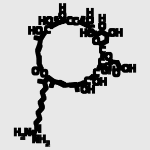 C/C1=C\C=C\C(C)C(C(C)CCC/C=C/CCCN=C(N)N)OC(=O)/C=C/C=C/C(C)C(O)CC(O)C(C)C(O)CCC(C)C(O)CC2(O)OC(CC(OC(=O)CC(=O)O)CC(O)CC(O)CC1O)CC(O)C2O